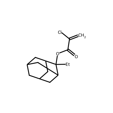 C=C(Cl)C(=O)OC1(CC)C2CC3CC(C2)CC1C3